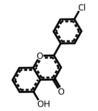 O=c1cc(-c2ccc(Cl)cc2)oc2cccc(O)c12